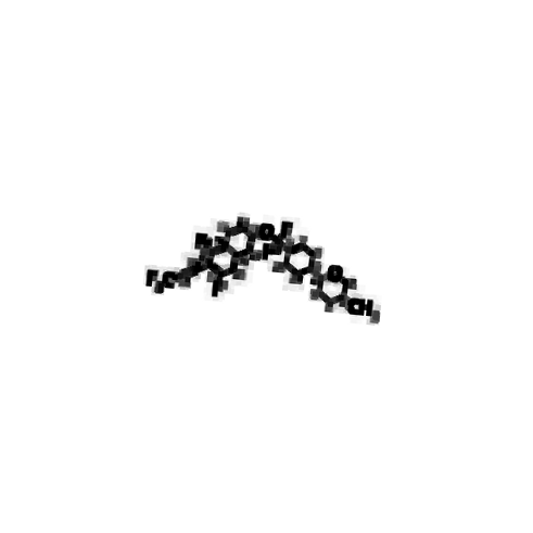 CC1CCC(C2CC=C(C(F)(F)Oc3ccc4c(F)c(C#CC(F)(F)F)c(F)cc4c3)CC2)OC1